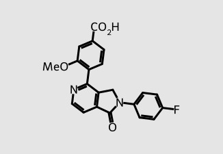 COc1cc(C(=O)O)ccc1-c1nccc2c1CN(c1ccc(F)cc1)C2=O